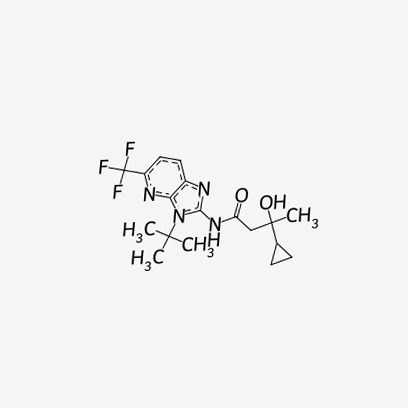 CC(O)(CC(=O)Nc1nc2ccc(C(F)(F)F)nc2n1C(C)(C)C)C1CC1